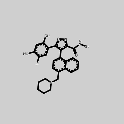 CCNC(=O)c1noc(-c2cc(Cl)c(O)cc2O)c1-c1ccc(CN2CCCCC2)c2ccccc12